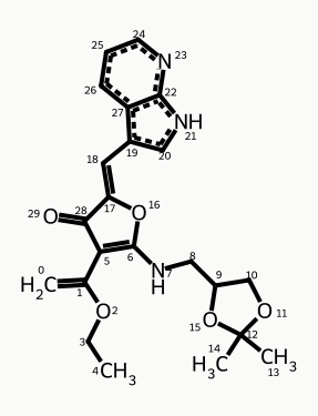 C=C(OCC)C1=C(NCC2COC(C)(C)O2)O/C(=C\c2c[nH]c3ncccc23)C1=O